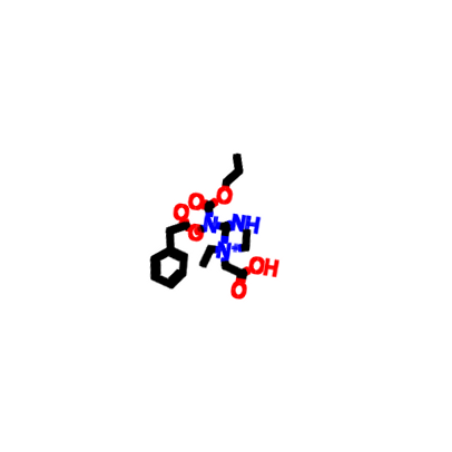 CCCOC(=O)N(OC(=O)Cc1ccccc1)C(=N)[N+](CC)(CC)CC(=O)O